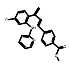 C=C(/C=C/c1ccc(C(=O)OC)cc1)c1ccc(Cl)cc1Nc1ccccn1